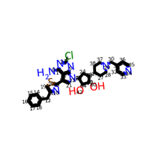 Nc1nc(Cl)nc2c1c(-c1nc(Cc3ccccc3)cs1)cn2[C@@H]1C[C@H](C2CCN(Cc3ccncc3)CC2)[C@@H](O)[C@H]1O